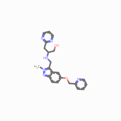 Cn1nc2ccc(OCc3ccccn3)cc2c1CNC(CO)Cc1ncccn1